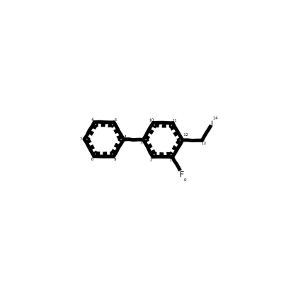 Fc1cc(-c2ccccc2)ccc1CI